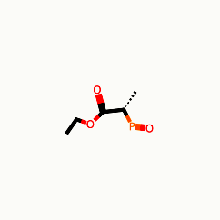 CCOC(=O)[C@H](C)P=O